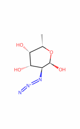 C[C@@H]1O[C@@H](O)[C@@H](N=[N+]=[N-])[C@H](O)[C@@H]1O